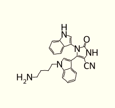 N#Cc1[nH]c(=O)n(-c2c[nH]c3ccccc23)c1-c1cn(CCCCN)c2ccccc12